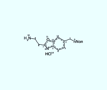 CCCCCCCCCCc1ccc2nc(CCN)oc2c1.Cl